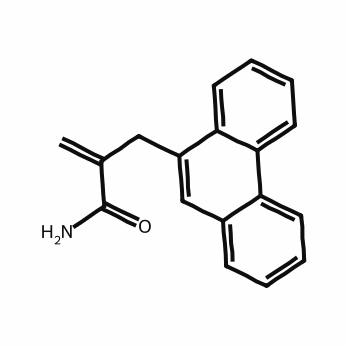 C=C(Cc1cc2ccccc2c2ccccc12)C(N)=O